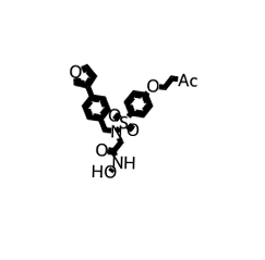 CC(=O)CCOc1ccc(S(=O)(=O)N(CC(=O)NO)Cc2ccc(-c3ccoc3)cc2)cc1